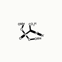 COOP(=O)(OOC)C(=[N+]=[N-])C(=O)O